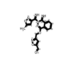 Cc1cc(C(=N)n2nc(OCc3cc(C=O)on3)c3ccccc3c2=N)no1